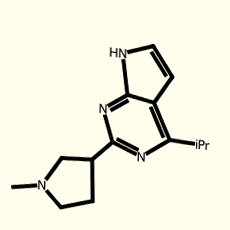 CC(C)c1nc(C2CCN(C)C2)nc2[nH]ccc12